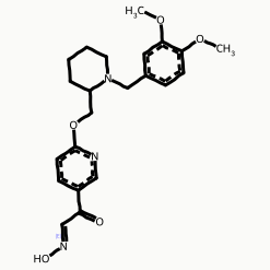 COc1ccc(CN2CCCCC2COc2ccc(C(=O)/C=N/O)cn2)cc1OC